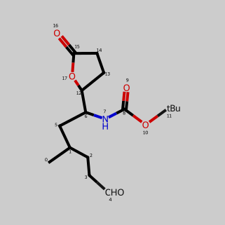 CC(CCC=O)CC(NC(=O)OC(C)(C)C)C1CCC(=O)O1